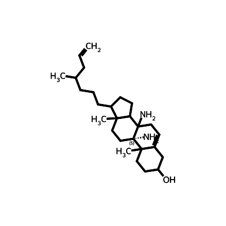 C=CCC(C)CCCC1CCC2C1(C)CC[C@]1(N)C3(C)CCC(O)CC3=CCC21N